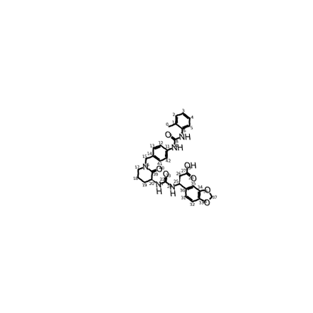 Cc1ccccc1NC(=O)Nc1ccc(CN2CCC[C@H](NC(=O)N[C@@H](CC(=O)O)c3ccc4c(c3)OCO4)C2=O)cc1